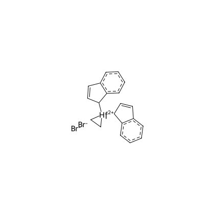 C1=C[CH]([Hf+2]2([CH]3C=Cc4ccccc43)[CH2][CH2]2)c2ccccc21.[Br-].[Br-]